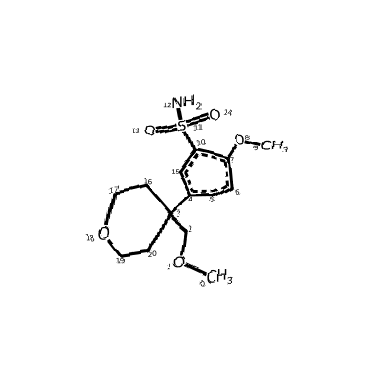 COCC1(c2ccc(OC)c(S(N)(=O)=O)c2)CCOCC1